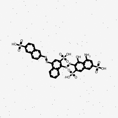 Nc1cc(S(=O)(=O)O)cc2cc(S(=O)(=O)O)c(/N=N/c3c(S(=O)(=O)O)cc(/N=N/c4ccc5cc(S(=O)(=O)O)ccc5c4)c4ccccc34)c(O)c12